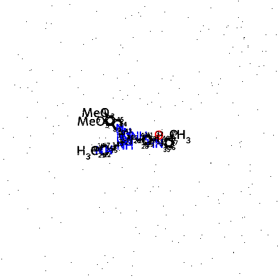 COc1cc2c(cc1OC)CN(c1nc(NCCN3CCN(C)CC3)nc(NCc3ccc(C(=O)Nc4cccc(C)c4)cc3)n1)CC2